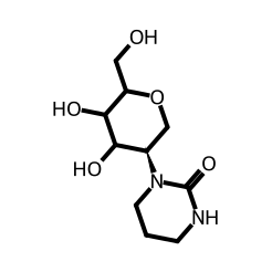 O=C1NCCCN1[C@@H]1COC(CO)C(O)C1O